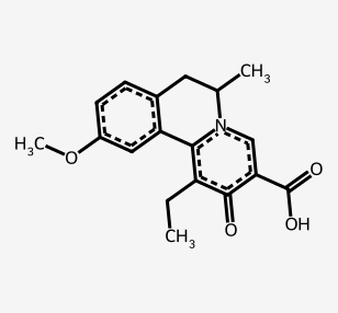 CCc1c2n(cc(C(=O)O)c1=O)C(C)Cc1ccc(OC)cc1-2